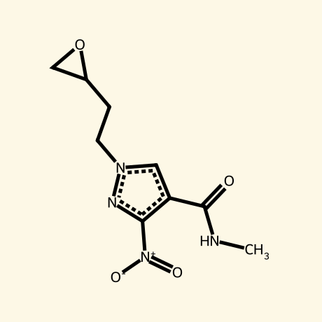 CNC(=O)c1cn(CCC2CO2)nc1[N+](=O)[O-]